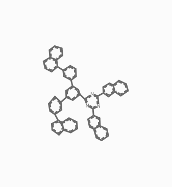 c1cc(-c2cc(-c3cccc(-c4cccc5ccccc45)c3)cc(-c3nc(-c4ccc5ccccc5c4)nc(-c4ccc5ccccc5c4)n3)c2)cc(-c2cccc3ccccc23)c1